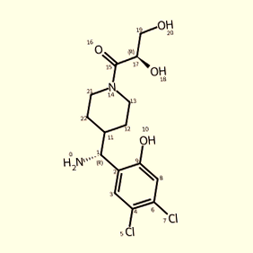 N[C@@H](c1cc(Cl)c(Cl)cc1O)C1CCN(C(=O)[C@H](O)CO)CC1